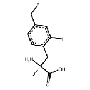 C[C@](N)(Cc1ccc(CF)cc1I)C(=O)O